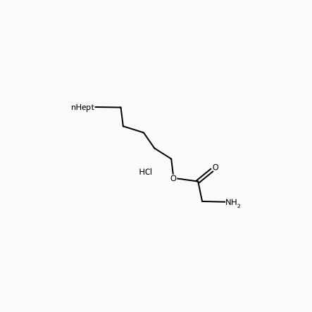 CCCCCCCCCCCCOC(=O)CN.Cl